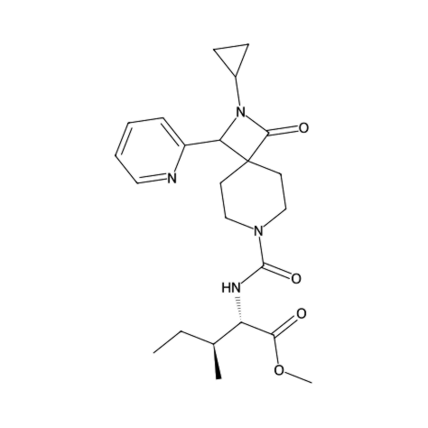 CC[C@H](C)[C@H](NC(=O)N1CCC2(CC1)C(=O)N(C1CC1)C2c1ccccn1)C(=O)OC